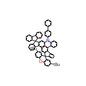 CC(C)(C)c1ccc2c(c1)C1(C3=CCCC=C3c3c(-c4ccccc4N(c4ccc(-c5ccccc5)cc4)c4ccc5c(c4)C4(c6ccccc6-c6ccccc64)c4ccccc4-5)cccc31)c1cc(C(C)(C)C)ccc1O2